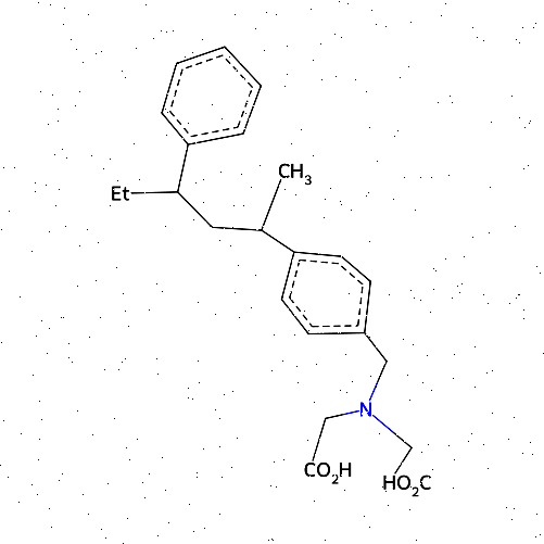 CCC(CC(C)c1ccc(CN(CC(=O)O)CC(=O)O)cc1)c1ccccc1